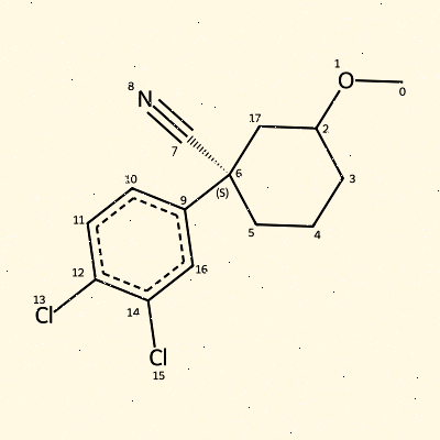 COC1CCC[C@@](C#N)(c2ccc(Cl)c(Cl)c2)C1